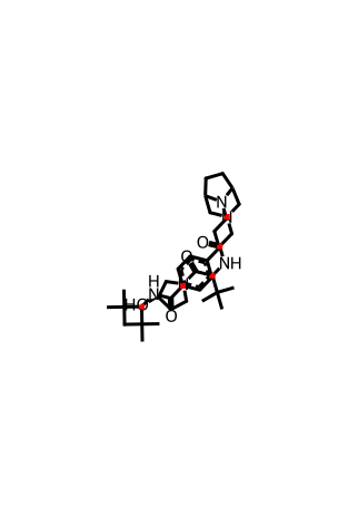 CC(C)(C)C(NC(=O)CN1CC2CCC(C1)N2CCCc1ccc(C(=O)NC2C(C)(C)CC2(C)C)cc1)C(=O)N1CC[C@@H](O)C1